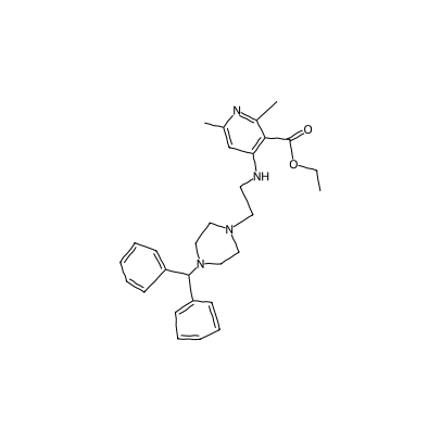 CCOC(=O)c1c(NCCN2CCN(C(c3ccccc3)c3ccccc3)CC2)cc(C)nc1C